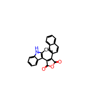 Cc1[nH]c2ccccc2c1C1=C(c2ccc3ccccc3c2)C(=O)OC1=O